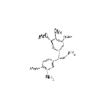 COc1ccc(C(=CN)c2cc(OC)c(OC)c(OC)c2)cc1N